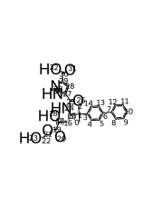 CC(C)(c1ccc(-c2ccccc2)cc1)[C@H](C[C@@H](O)C(=O)OCO)NC(=O)c1cc(C(=O)O)n[nH]1